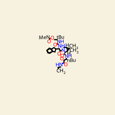 C=CCNC(=O)C(=O)C(CCCC)NC(=O)[C@@H]1[C@@H]2[C@H](CN1C(=O)[C@@H](NC(=O)N[C@H](COC(=O)NC)C(C)(C)C)C1Cc3ccccc3C1)C2(C)C